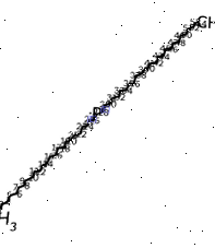 CCCCCCCCCCCCCCCCCCCCCCCCC/C=C/[P]/C=C/CCCCCCCCCCCCCCCCCCCCCCCCC